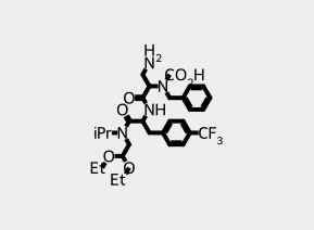 CCOC(CN(C(=O)C(Cc1ccc(C(F)(F)F)cc1)NC(=O)C(CN)N(Cc1ccccc1)C(=O)O)C(C)C)OCC